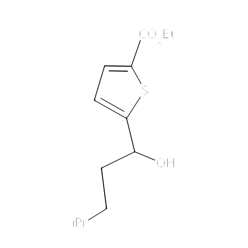 CCOC(=O)c1ccc(C(O)CCC(C)C)s1